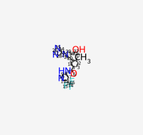 Cc1ccc(C(=O)Nc2cncc(C(F)(F)F)c2)cc1C1CN(c2cncnc2)CC1CO